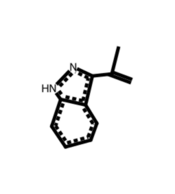 C=C(C)c1n[nH]c2ccccc12